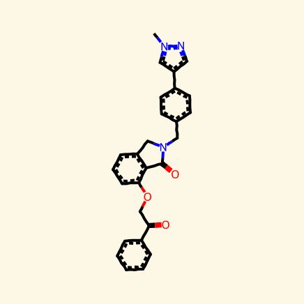 Cn1cc(-c2ccc(CN3Cc4cccc(OCC(=O)c5ccccc5)c4C3=O)cc2)cn1